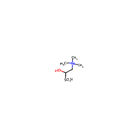 C[N+](C)(C)CC(O)S(=O)(=O)O